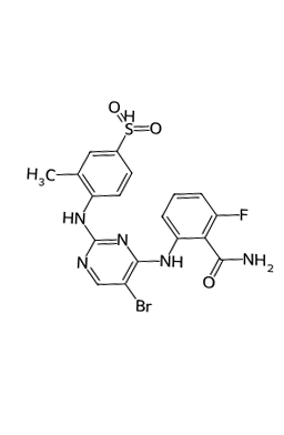 Cc1cc([SH](=O)=O)ccc1Nc1ncc(Br)c(Nc2cccc(F)c2C(N)=O)n1